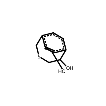 OC1CSCc2ccc1c1c2CSCC1O